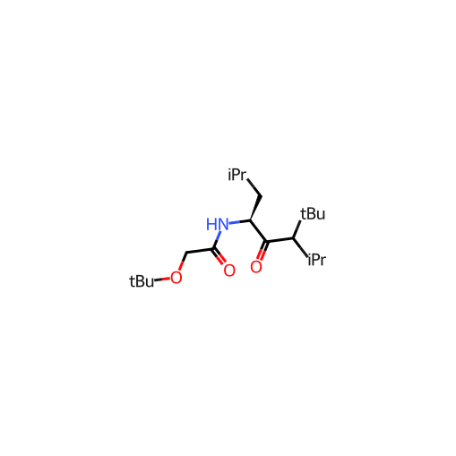 CC(C)C[C@H](NC(=O)COC(C)(C)C)C(=O)C(C(C)C)C(C)(C)C